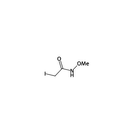 CONC(=O)CI